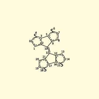 c1cc2c(s1)-c1sccc1C2=C1c2ccsc2-c2sccc21